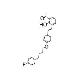 CC(=O)c1cccc(/C=C/c2ccc(OCCCCc3ccc(F)cc3)cc2)c1O